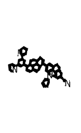 N#Cc1cc2ccc3cc(-c4ccc5ccc6c(-c7cc(-c8ccccn8)cc(-c8ccccn8)c7)ccc7ccc4c5c76)cc4c3c2c(c1)n4-c1ccccc1